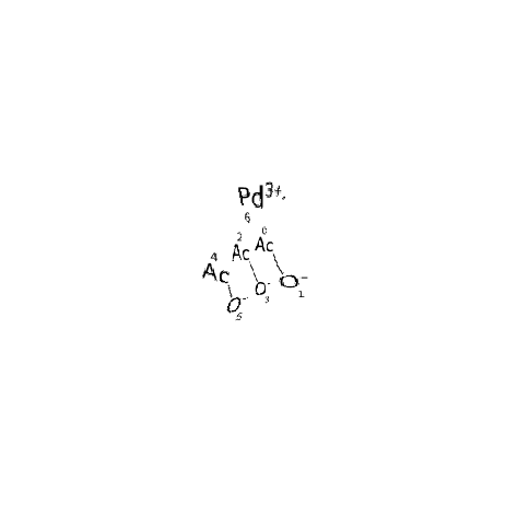 CC(=O)[O-].CC(=O)[O-].CC(=O)[O-].[Pd+3]